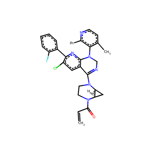 C=CC(=O)N1CCN(C2=NCN(c3c(C)ccnc3C(C)C)c3nc(-c4ccccc4F)c(Cl)cc32)[C@H]2C[C@H]21